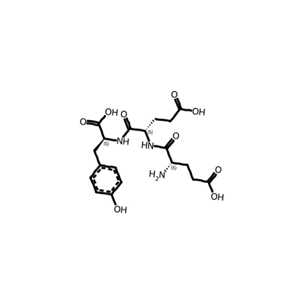 N[C@@H](CCC(=O)O)C(=O)N[C@@H](CCC(=O)O)C(=O)N[C@@H](Cc1ccc(O)cc1)C(=O)O